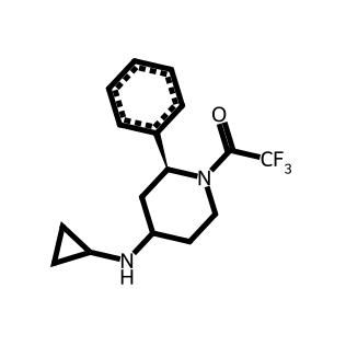 O=C(N1CCC(NC2CC2)C[C@H]1c1ccccc1)C(F)(F)F